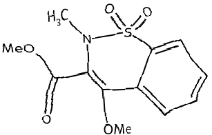 COC(=O)C1=C(OC)c2ccccc2S(=O)(=O)N1C